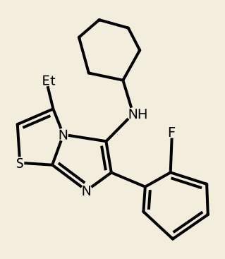 CCc1csc2nc(-c3ccccc3F)c(NC3CCCCC3)n12